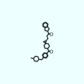 CC1CCC(Cc2ccc(C(=O)C3CCC4(CC3)CC4CCC(=O)C3Cc4ccccc4C3)cc2)CC1